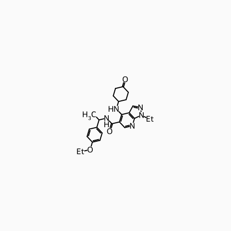 CCOc1ccc(C(C)NC(=O)c2cnc3c(cnn3CC)c2NC2CCC(=O)CC2)cc1